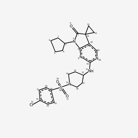 O=C1N(C2CCCC2)c2nc(NC3CCN(S(=O)(=O)c4ccc(Cl)cc4)CC3)ncc2C12CC2